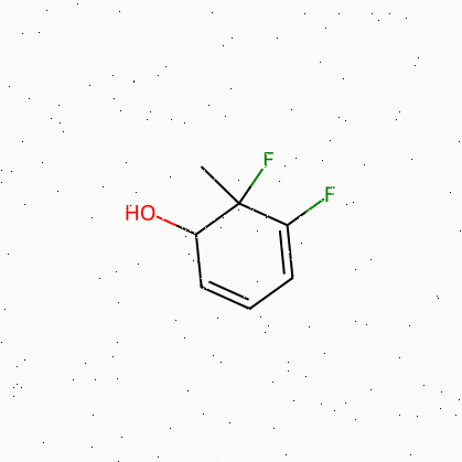 CC1(F)C(F)=CC=CC1O